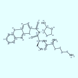 CC(C)C[C@H](NC(=O)[C@@H](N)CCCCN)C(=O)N(C(=O)C1=CC=C2Sc3ccccc3N=C2C1)[C@H]1CCOC1O